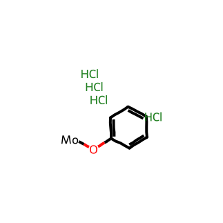 Cl.Cl.Cl.Cl.[Mo][O]c1ccccc1